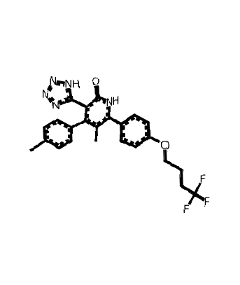 Cc1ccc(-c2c(C)c(-c3ccc(OCCCC(F)(F)F)cc3)[nH]c(=O)c2-c2nnn[nH]2)cc1